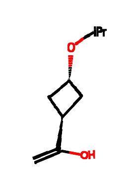 C=C(O)[C@H]1C[C@H](OC(C)C)C1